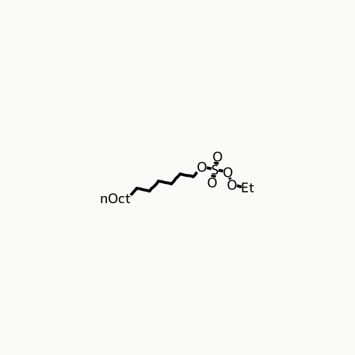 CCCCCCCCCCCCCCOS(=O)(=O)OOCC